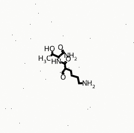 CC(O)C(NC(=O)C([C]=O)CCCCN)C(N)=O